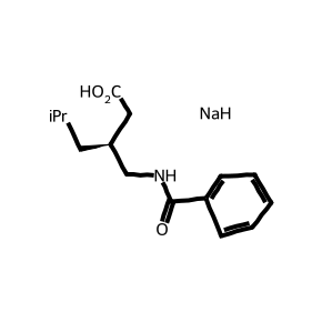 CC(C)C[C@H](CNC(=O)c1ccccc1)CC(=O)O.[NaH]